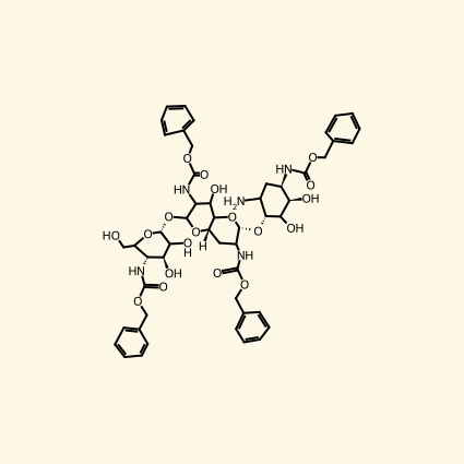 NC1C[C@@H](NC(=O)OCc2ccccc2)[C@@H](O)C(O)[C@@H]1O[C@H]1OC2C(O)C(NC(=O)OCc3ccccc3)C(O[C@H]3OC(CO)[C@@H](NC(=O)OCc4ccccc4)[C@H](O)C3O)O[C@H]2CC1NC(=O)OCc1ccccc1